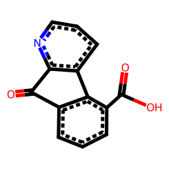 O=C(O)c1cccc2c1-c1cccnc1C2=O